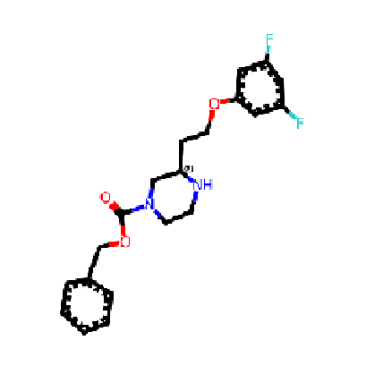 O=C(OCc1ccccc1)N1CCN[C@H](CCOc2cc(F)cc(F)c2)C1